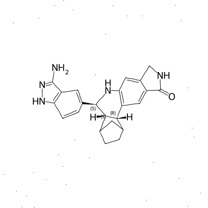 Nc1n[nH]c2ccc([C@H]3Nc4cc5c(cc4[C@@H]4C6CCC(C6)[C@H]34)C(=O)NC5)cc12